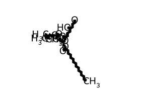 CCCCCCCCCCCCCCCC(=O)OC[C@H](COP(=O)(O)OCC[N+](C)(C)C)OC(=O)C=CCC(O)CCC=O